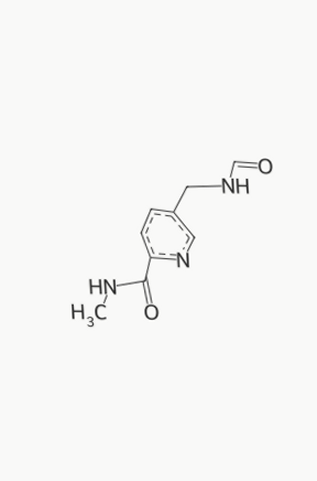 CNC(=O)c1ccc(CNC=O)cn1